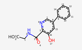 O=C(O)CNC(=O)c1ncc(-c2ccccc2)cc1O